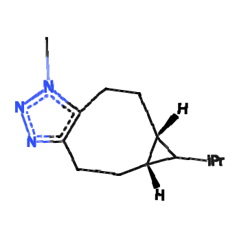 CC(C)C1[C@H]2CCc3c(nnn3C)CC[C@@H]12